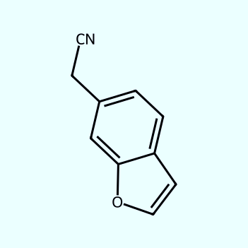 N#CCc1ccc2ccoc2c1